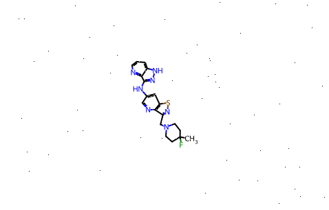 CC1(F)CCN(Cc2nsc3cc(Nc4n[nH]c5cccnc45)cnc23)CC1